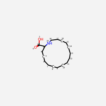 O=C(O)C1CCCCCCCCCCCCCCCN1